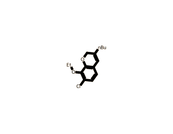 CCCCC1=Cc2ccc(Cl)c(OCC)c2OC1